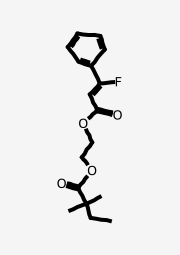 CCC(C)(C)C(=O)OCCOC(=O)/C=C(\F)c1ccccc1